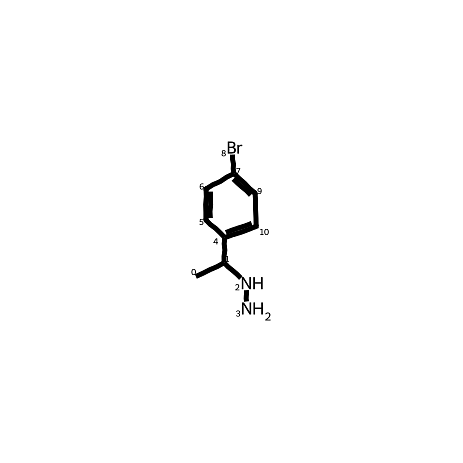 CC(NN)c1ccc(Br)cc1